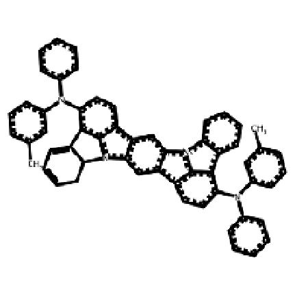 Cc1cccc(N(c2ccccc2)c2ccc3c4cc5c(cc4n4c3c2C2=CC=CCC24)c2ccc(N(c3ccccc3)c3cccc(C)c3)c3c4ccccc4n5c23)c1